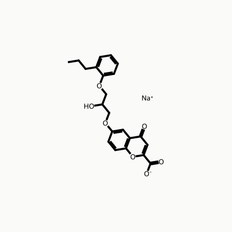 CCCc1ccccc1OCC(O)COc1ccc2oc(C(=O)[O-])cc(=O)c2c1.[Na+]